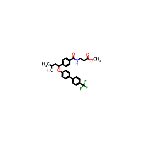 COC(=O)CCNC(=O)c1ccc(C(CC(C)C)Oc2ccc(-c3ccc(C(F)(F)F)cc3)cc2)cc1